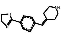 C(=C1CCNCC1)c1ccc(C2=NCCO2)cc1